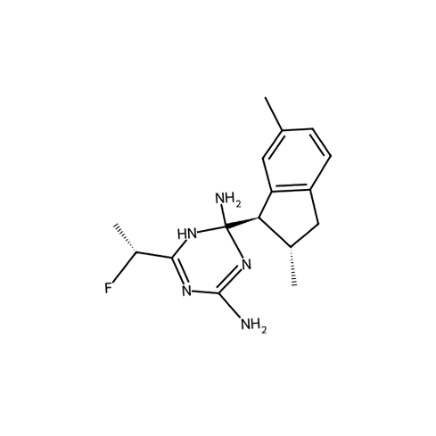 Cc1ccc2c(c1)[C@H](C1(N)N=C(N)N=C([C@@H](C)F)N1)[C@@H](C)C2